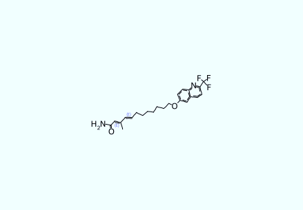 CC(/C=C/CCCCCCCOc1ccc2nc(C(F)(F)F)ccc2c1)=C\C(N)=O